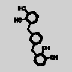 Oc1cccc(Cc2cccc(Cc3cccc(O)c3O)c2)c1O